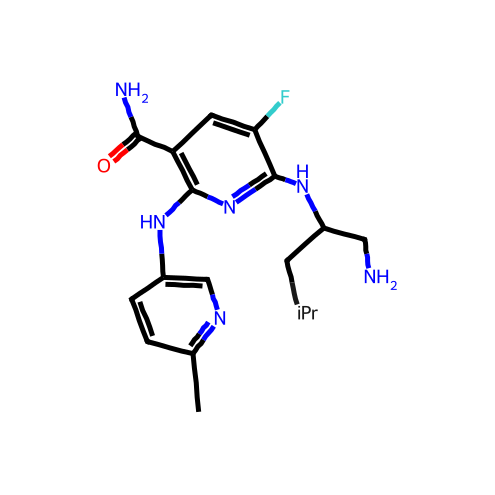 Cc1ccc(Nc2nc(NC(CN)CC(C)C)c(F)cc2C(N)=O)cn1